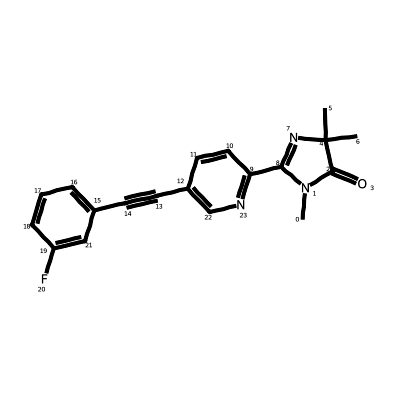 CN1C(=O)C(C)(C)N=C1c1ccc(C#Cc2cccc(F)c2)cn1